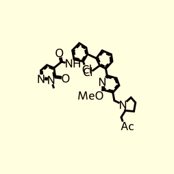 COc1nc(-c2cccc(-c3cccc(NC(=O)c4ccnn(C)c4=O)c3Cl)c2Cl)ccc1CN1CCCC1CC(C)=O